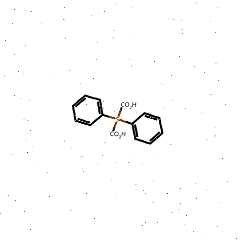 O=C(O)S(C(=O)O)(c1ccccc1)c1ccccc1